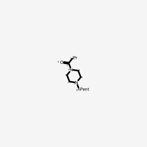 CCCCCN1CCN(C(=O)C(C)C)CC1